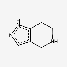 c1n[nH]c2c1CNCC2